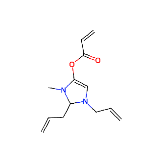 C=CCC1N(CC=C)C=C(OC(=O)C=C)N1C